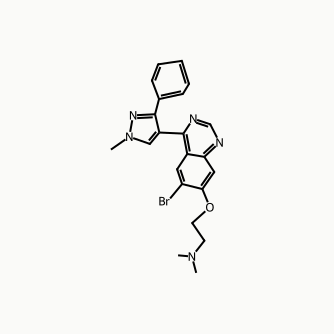 CN(C)CCOc1cc2ncnc(-c3cn(C)nc3-c3ccccc3)c2cc1Br